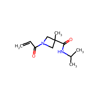 C=CC(=O)N1CC(C)(C(=O)NC(C)C)C1